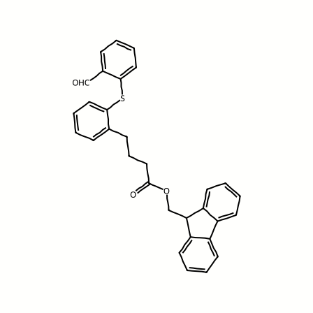 O=Cc1ccccc1Sc1ccccc1CCCC(=O)OCC1c2ccccc2-c2ccccc21